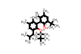 Cc1cc(C(C)(C)C)c(O)c(-c2c(C)c(C)cc(CC(C)C)c2O[Si](C)(C)C(C)(C)C)c1C